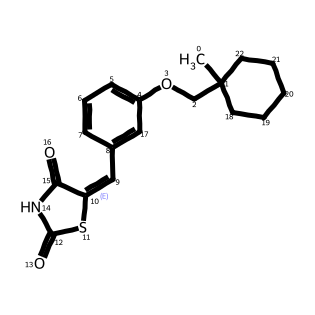 CC1(COc2cccc(/C=C3/SC(=O)NC3=O)c2)CCCCC1